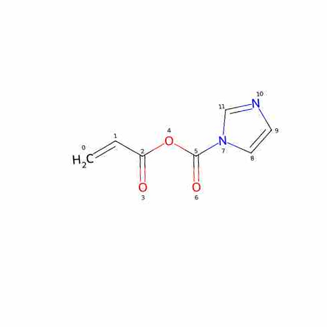 C=CC(=O)OC(=O)n1ccnc1